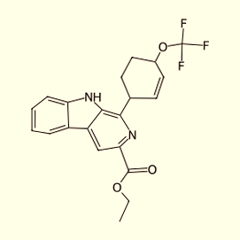 CCOC(=O)c1cc2c([nH]c3ccccc32)c(C2C=CC(OC(F)(F)F)CC2)n1